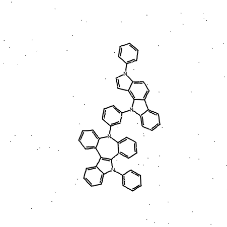 c1ccc(-n2ccc3c2ccc2c4ccccc4n(-c4cccc(N5c6ccccc6-c6c(n(-c7ccccc7)c7ccccc67)-c6ccccc65)c4)c23)cc1